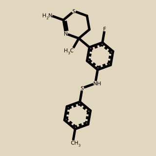 Cc1ccc(SNc2ccc(F)c(C3(C)CCSC(N)=N3)c2)cc1